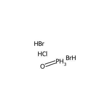 Br.Br.Cl.O=[PH3]